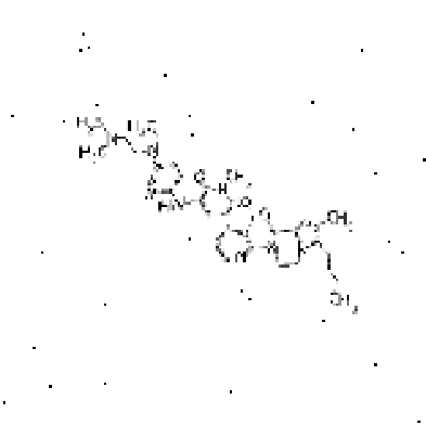 BN(C)CCN(CC)c1ccc(Nc2cc(-c3ccnc(N4CCn5c(cc(C)c5CCCC)C4=O)c3CO)cn(C)c2=O)nc1